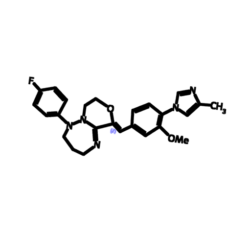 COc1cc(/C=C2\OCCN3C2=NCCCN3c2ccc(F)cc2)ccc1-n1cnc(C)c1